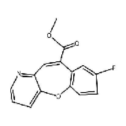 COC(=O)C1=Cc2ncccc2Oc2ccc(F)cc21